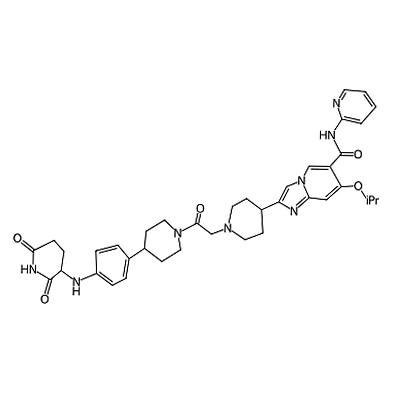 CC(C)Oc1cc2nc(C3CCN(CC(=O)N4CCC(c5ccc(NC6CCC(=O)NC6=O)cc5)CC4)CC3)cn2cc1C(=O)Nc1ccccn1